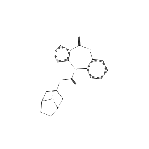 CN1C2CCC1CC(OC(=O)N1c3ccccc3NC(=O)c3cscc31)C2